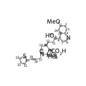 COc1ccc2nccc([C@@H](O)CC[C@@H]3CCN(CC#Cc4cccs4)C[C@@H]3C(=O)O)c2c1.Cl.Cl